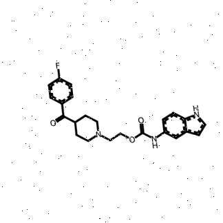 O=C(Nc1ccc2[nH]ccc2c1)OCCN1CCC(C(=O)c2ccc(F)cc2)CC1